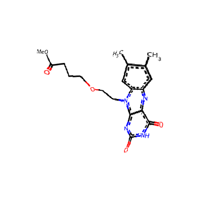 COC(=O)CCCOCCn1c2nc(=O)[nH]c(=O)c-2nc2cc(C)c(C)cc21